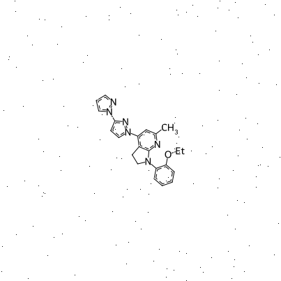 CCOc1ccccc1N1CCc2c(-n3ccc(-n4cccn4)n3)cc(C)nc21